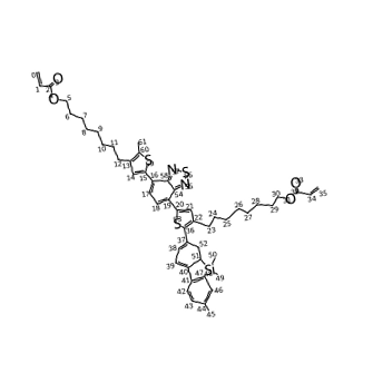 C=CC(=O)OCCCCCCCCc1cc(-c2ccc(-c3cc(CCCCCCCCOC(=O)C=C)c(C4=CC=C5c6ccc(C)cc6[Si](C)(C)C5C4)s3)c3nsnc23)sc1C